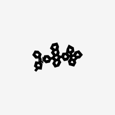 Cc1ccc(N(c2ccccc2)c2ccc(-c3c4ccccc4c(-c4ccc(C5(c6ccccc6)c6ccccc6-c6ccccc65)cc4)c4cc5ccccc5cc34)cc2)cc1